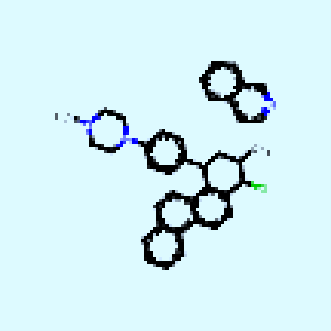 CC1CC(c2ccc(N3CCN(C)CC3)cc2)c2c(ccc3c2ccc2ccccc23)C1Cl.c1ccc2cnccc2c1